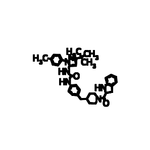 Cc1ccc(-n2nc(C(C)(C)C)cc2NC(=O)Nc2ccc(CC3CCN(C(=O)C4Cc5ccccc5N4)CC3)cc2)cc1